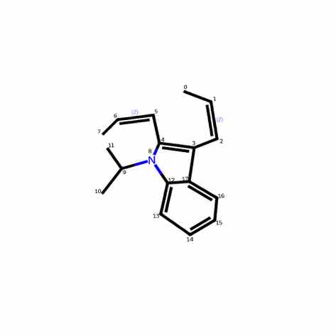 C/C=C\c1c(/C=C\C)n(C(C)C)c2ccccc12